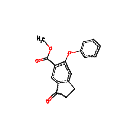 COC(=O)c1cc2c(cc1Oc1ccccc1)CCC2=O